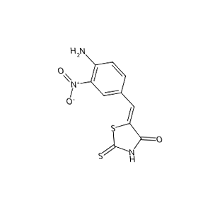 Nc1ccc(/C=C2\SC(=S)NC2=O)cc1[N+](=O)[O-]